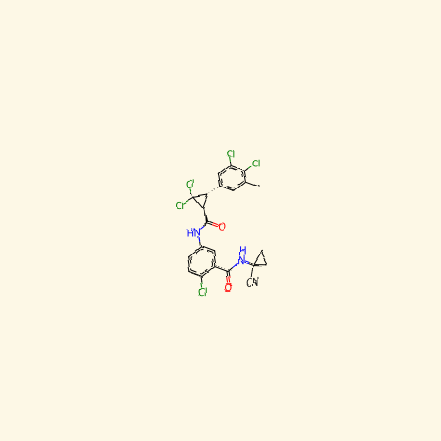 Cc1cc([C@@H]2[C@@H](C(=O)Nc3ccc(Cl)c(C(=O)NC4(C#N)CC4)c3)C2(Cl)Cl)cc(Cl)c1Cl